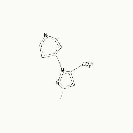 Cc1cc(C(=O)O)n(-c2ccncc2)n1